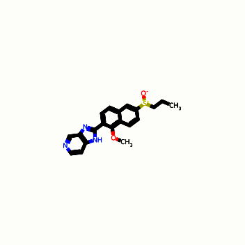 CCC[S+]([O-])c1ccc2c(OC)c(-c3nc4cnccc4[nH]3)ccc2c1